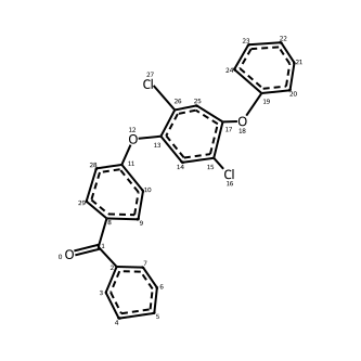 O=C(c1ccccc1)c1ccc(Oc2cc(Cl)c(Oc3ccccc3)cc2Cl)cc1